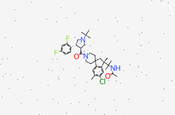 CC(=O)NC(C)(C)[C@@]1(C)CC2(CCN(C(=O)[C@@H]3CN(C(C)(C)C)C[C@H]3c3ccc(F)cc3F)CC2)c2cc(C)c(Cl)cc21